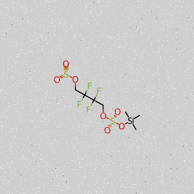 C[Si](C)(C)OS(=O)(=O)OCC(F)(F)C(F)(F)CO[SH](=O)=O